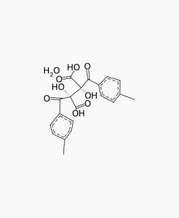 Cc1ccc(C(=O)[C@](O)(C(=O)O)[C@@](O)(C(=O)O)C(=O)c2ccc(C)cc2)cc1.O